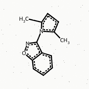 Cc1ccc(C)n1-c1noc2ccccc12